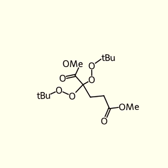 COC(=O)CCC(OOC(C)(C)C)(OOC(C)(C)C)C(=O)OC